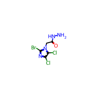 NNC(=O)Cn1c(Br)nc(Cl)c1Cl